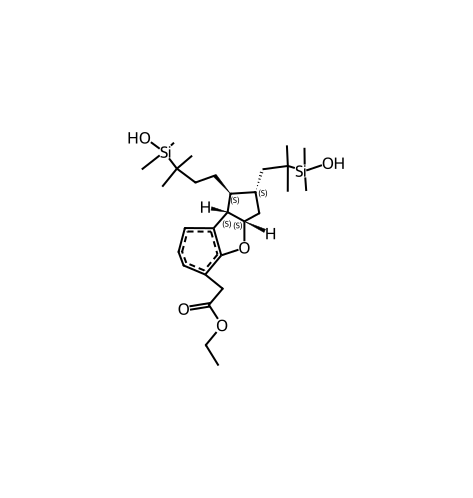 CCOC(=O)Cc1cccc2c1O[C@H]1C[C@@H](CC(C)(C)[Si](C)(C)O)[C@H](CCC(C)(C)[Si](C)(C)O)[C@@H]21